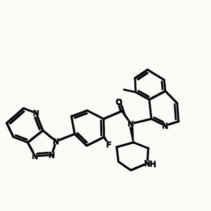 Cc1cccc2ccnc(N(C(=O)c3ccc(-n4nnc5cccnc54)cc3F)[C@@H]3CCCNC3)c12